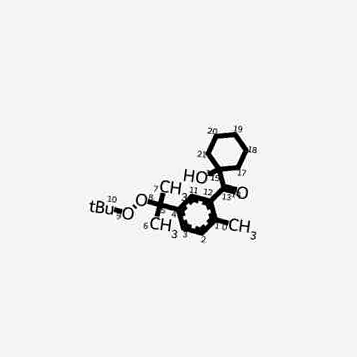 Cc1ccc(C(C)(C)OOC(C)(C)C)cc1C(=O)C1(O)CCCCC1